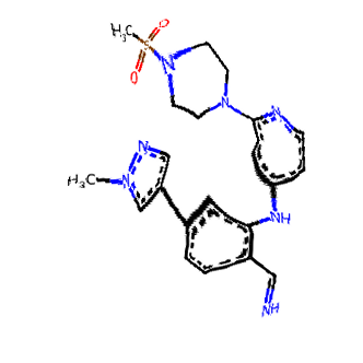 Cn1cc(-c2ccc(C=N)c(Nc3ccnc(N4CCN(S(C)(=O)=O)CC4)c3)c2)cn1